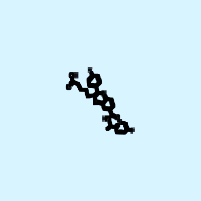 CC(NC(=O)c1ccc2nc(-c3ccc(F)cc3)c(CCCCC(=O)O)nc2c1)c1ccc(F)cn1